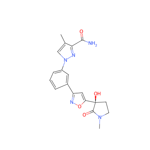 Cc1cn(-c2cccc(-c3cc([C@]4(O)CCN(C)C4=O)on3)c2)nc1C(N)=O